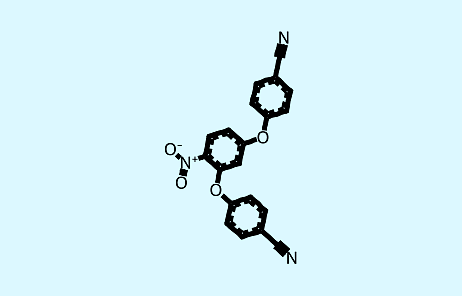 N#Cc1ccc(Oc2ccc([N+](=O)[O-])c(Oc3ccc(C#N)cc3)c2)cc1